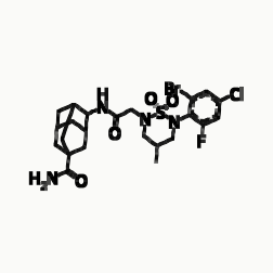 CC1CN(CC(=O)NC2C3CC4CC2CC(C(N)=O)(C4)C3)S(=O)(=O)N(c2c(F)cc(Cl)cc2Br)C1